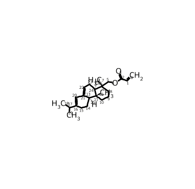 C=CC(=O)OC[C@]1(C)CCC[C@]2(C)[C@H]3CCC(C(C)C)=CC3=CC[C@@H]12